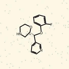 Fc1ccccc1OC(c1cccnc1)[C@@H]1CNCCO1